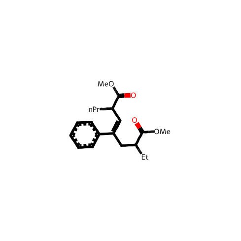 CCCC(/C=C(/CC(CC)C(=O)OC)c1ccccc1)C(=O)OC